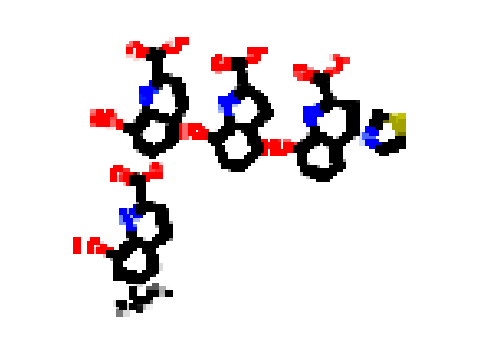 O=C([O-])c1ccc2cccc(O)c2n1.O=C([O-])c1ccc2cccc(O)c2n1.O=C([O-])c1ccc2cccc(O)c2n1.O=C([O-])c1ccc2cccc(O)c2n1.[Cu+2].[Zn+2].c1cscn1